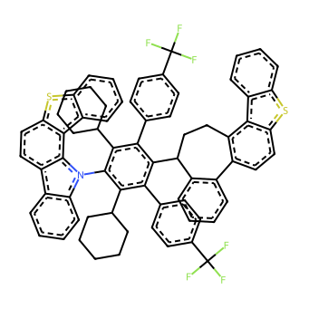 FC(F)(F)c1ccc(-c2c(C3CCCCC3)c(-n3c4ccccc4c4ccc5sc6ccccc6c5c43)c(C3CCCCC3)c(-c3ccc(C(F)(F)F)cc3)c2C2CCc3c(ccc4sc5ccccc5c34)-c3ccccc32)cc1